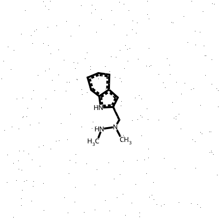 CNN(C)Cc1cc2ccccc2[nH]1